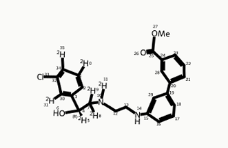 [2H]c1cc([C@@]([2H])(O)C([2H])([2H])N([2H])CCNc2cccc(-c3cccc(C(=O)OC)c3)c2)c([2H])c(Cl)c1[2H]